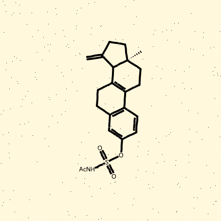 C=C1CC[C@@]2(C)CCC3=C(CCc4cc(OS(=O)(=O)NC(C)=O)ccc43)C12